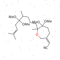 COC(CC=C(C)C)(OC)C(C)CCCC1(C)OCC(=CC#N)CCC1(OC)OC